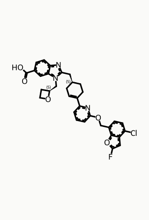 O=C(O)c1ccc2nc(C[C@@H]3CC=C(c4cccc(OCc5ccc(Cl)c6cc(F)oc56)n4)CC3)n(C[C@@H]3CCO3)c2c1